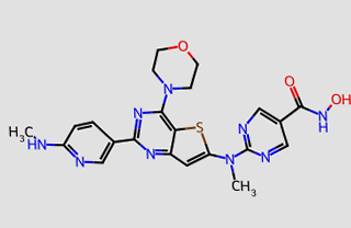 CNc1ccc(-c2nc(N3CCOCC3)c3sc(N(C)c4ncc(C(=O)NO)cn4)cc3n2)cn1